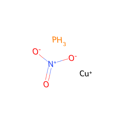 O=[N+]([O-])[O-].P.[Cu+]